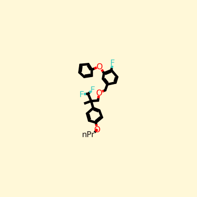 CCCOc1ccc(C(C)(COCc2ccc(F)c(Oc3ccccc3)c2)C(F)F)cc1